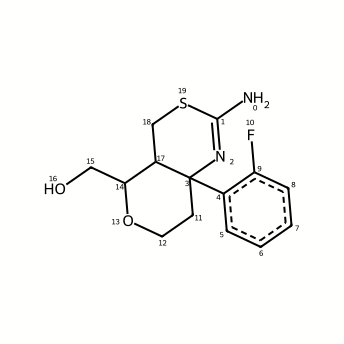 NC1=NC2(c3ccccc3F)CCOC(CO)C2CS1